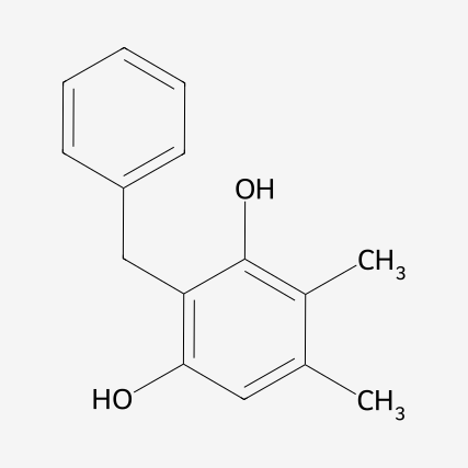 Cc1cc(O)c(Cc2ccccc2)c(O)c1C